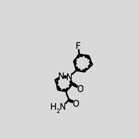 NC(=O)c1ccnn(-c2cccc(F)c2)c1=O